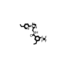 CCc1ccc(-n2ncnc2CNC(=O)c2cc(CC)cc(SC(F)(F)F)c2)nc1